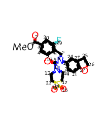 COC(=O)c1ccc(CN(C(=O)N2CCS(=O)(=O)CC2)c2ccc3c(c2)CCO3)c(F)c1